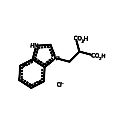 O=C(O)C(C[n+]1c[nH]c2ccccc21)C(=O)O.[Cl-]